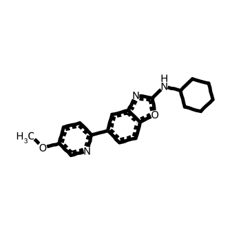 COc1ccc(-c2ccc3oc(NC4CCCCC4)nc3c2)nc1